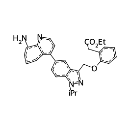 CCOC(=O)Cc1ccccc1OCc1nn(C(C)C)c2ccc(-c3ccnc4c(N)cccc34)cc12